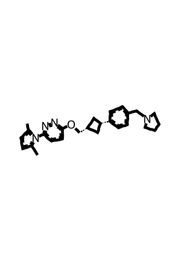 Cc1ccc(C)n1-c1ccc(OC[C@H]2C[C@@H](c3ccc(CN4CCCC4)cc3)C2)nn1